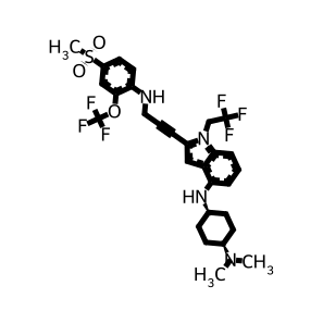 CN(C)[C@H]1CC[C@@H](Nc2cccc3c2cc(C#CCNc2ccc(S(C)(=O)=O)cc2OC(F)(F)F)n3CC(F)(F)F)CC1